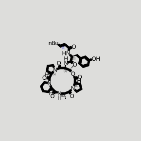 CCCC/C=C/C(=O)N[C@@H](Cc1cccc(O)c1)C(=O)N[C@@H]1C(=O)N2CCC[C@H]2C(=O)N2CCCC[C@H]2C(=O)N[C@@H](C)C(=O)N2CCC[C@H]2C(=O)O[C@H]1C